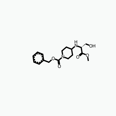 COC(=O)[C@@H](CO)NC1CCN(C(=O)OCc2ccccc2)CC1